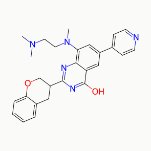 CN(C)CCN(C)c1cc(-c2ccncc2)cc2c(O)nc(C3COc4ccccc4C3)nc12